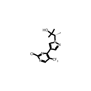 C[C@H](n1cc(-c2nc(Cl)ncc2C(F)(F)F)cn1)C(C)(C)O